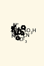 Cc1c(-c2ccnn2-c2ccc(C#N)cc2)n(C(=O)N[C@@H](C)c2ccc(C[N+](C)(C)C)[nH]2)c(=O)n1-c1cccc(C(F)(F)F)c1.O=S(=O)(O)c1ccccc1